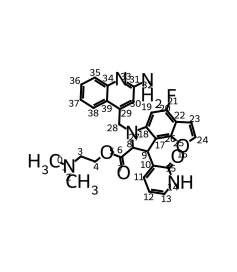 CN(C)CCOC(=O)C1C(c2ccc[nH]c2=O)c2c(cc(F)c3ccoc23)N1Cc1cc(N)nc2ccccc12